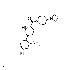 CC[N+]1=CCC(C2CC[C@H](C(=O)N3CCC(N4CCC4)CC3)NC2)C(N)C1